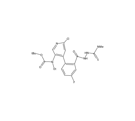 CCN(C(=O)OC(C)(C)C)c1cnc(Cl)cc1-c1ccc(F)cc1C(=O)NNC(=S)NC